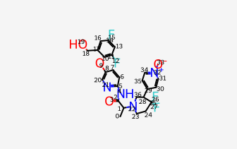 CC(C(=O)Nc1ccc(Oc2c(F)cc(F)cc2CO)cn1)N1CCC(F)(F)C(c2cc[n+]([O-])cc2)C1